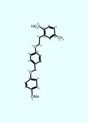 COc1ccc(OCc2ccc(OCCc3cc(C)ccc3S(=O)(=O)O)cc2)cc1